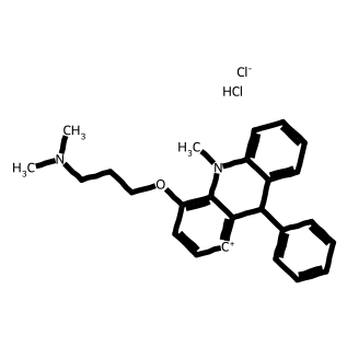 CN(C)CCCOC1=C2C(=[C+]C=C1)C(c1ccccc1)c1ccccc1N2C.Cl.[Cl-]